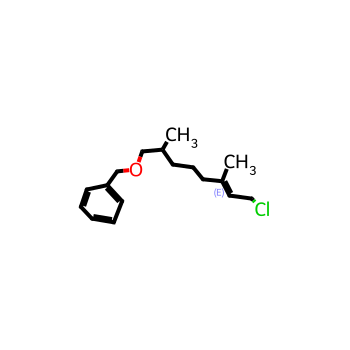 C/C(=C\CCl)CCCC(C)COCc1ccccc1